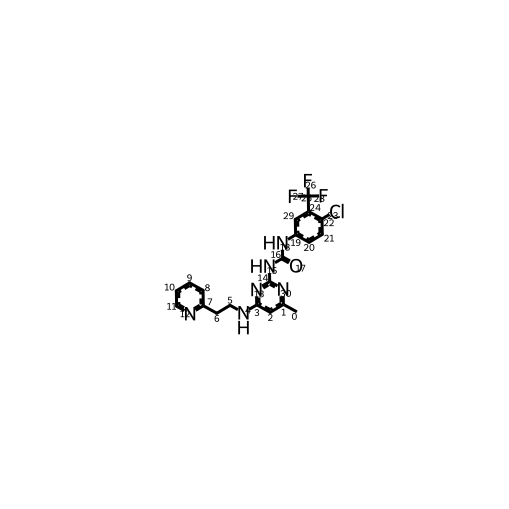 Cc1cc(NCCc2ccccn2)nc(NC(=O)Nc2ccc(Cl)c(C(F)(F)F)c2)n1